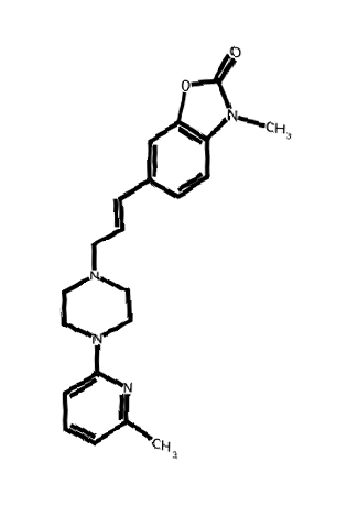 Cc1cccc(N2CCN(C/C=C/c3ccc4c(c3)oc(=O)n4C)CC2)n1